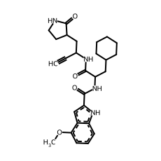 C#CC(CC1CCNC1=O)NC(=O)C(CC1CCCCC1)NC(=O)c1cc2c(OC)cccc2[nH]1